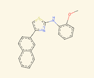 COc1ccccc1Nc1nc(-c2ccc3ccccc3c2)cs1